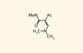 CNC(=O)/C(=C\N(C)C)C(C)=O